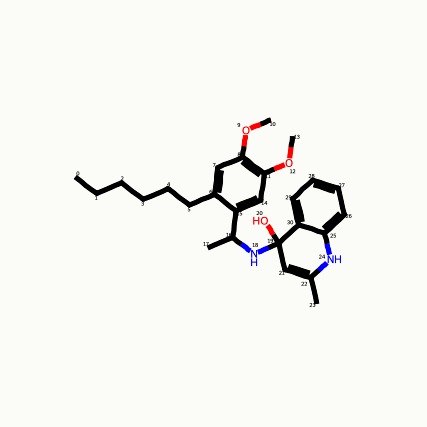 CCCCCCc1cc(OC)c(OC)cc1C(C)NC1(O)C=C(C)Nc2ccccc21